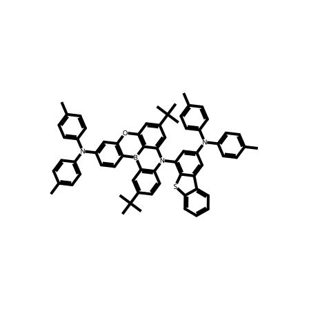 Cc1ccc(N(c2ccc(C)cc2)c2ccc3c(c2)Oc2cc(C(C)(C)C)cc4c2B3c2cc(C(C)(C)C)ccc2N4c2cc(N(c3ccc(C)cc3)c3ccc(C)cc3)cc3c2sc2ccccc23)cc1